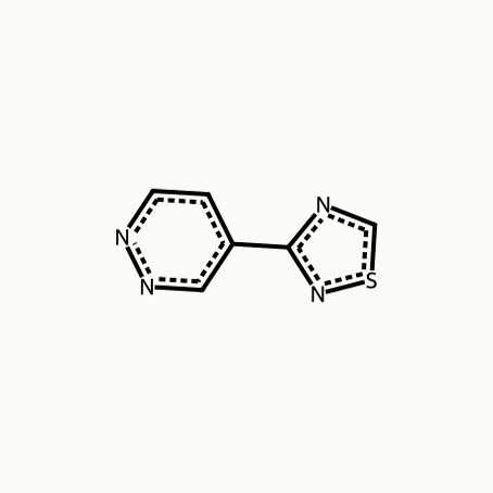 c1cc(-c2ncsn2)cnn1